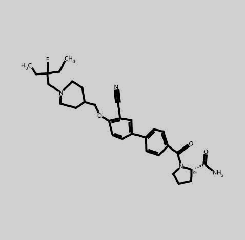 CCC(F)(CC)CN1CCC(COc2ccc(-c3ccc(C(=O)N4CCC[C@H]4C(N)=O)cc3)cc2C#N)CC1